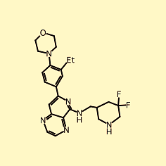 CCc1cc(-c2cc3nccnc3c(NCC3CNCC(F)(F)C3)n2)ccc1N1CCOCC1